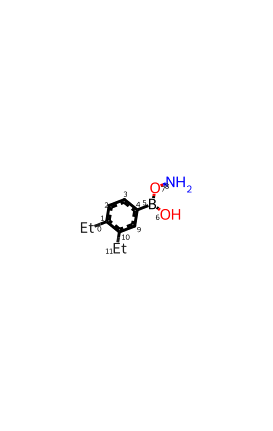 CCc1ccc(B(O)ON)cc1CC